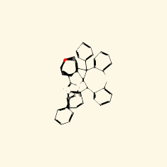 c1ccc(-c2nc3n(n2)C2(c4ccccc4-3)C(c3ccccc3)c3ccccc3Oc3ccccc3C2(c2ccccc2)c2ccccc2)cc1